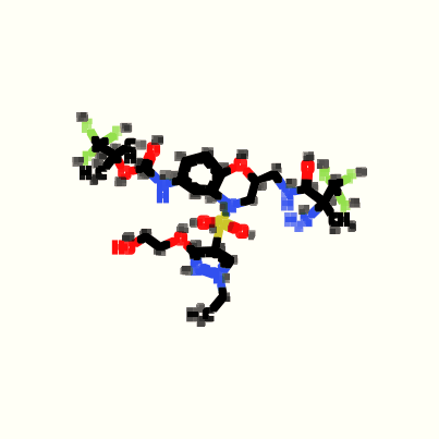 CCn1cc(S(=O)(=O)N2C[C@H](CNC(=O)C(C)(N)C(F)(F)F)Oc3ccc(NC(=O)OC(C)(C)C(F)(F)F)cc32)c(OCCO)n1